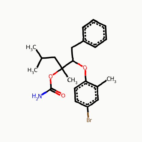 Cc1cc(Br)ccc1OC(Cc1ccccc1)C(C)(CC(C)C)OC(N)=O